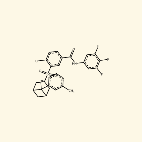 Cc1cc(C2(O)C3CC2CC(S(=O)(=O)c2cc(C(=O)Nc4cc(F)c(F)c(F)c4)ccc2Cl)C3)ccn1